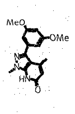 COc1cc(OC)cc(-c2nn(C)c3[nH]c(=O)cc(C)c23)c1